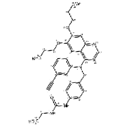 C#Cc1cccc(N(Cc2ccc(NC(=O)NCC(=O)O)cc2)c2ncnc3cc(OCCOC)c(OCCOC)cc23)c1